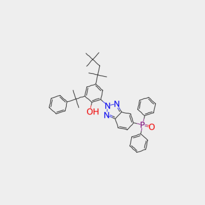 CC(C)(C)CC(C)(C)c1cc(-n2nc3ccc(P(=O)(c4ccccc4)c4ccccc4)cc3n2)c(O)c(C(C)(C)c2ccccc2)c1